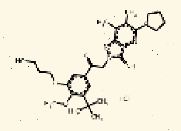 COc1c(OCCCO)cc(C(=O)Cn2nc3c(C)c(C)c(N4CCCC4)nn3c2=N)cc1C(C)(C)C.Cl